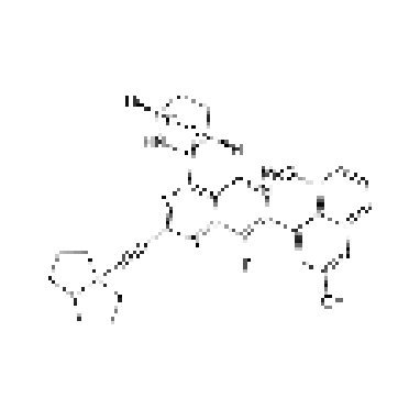 CSc1cccc2cc(O)cc(-c3ncc4c(N5C[C@H]6CC[C@@H]5CN6)nc(C#CC56CCCN5CCC6)nc4c3F)c12